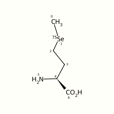 C[75Se]CC[C@H](N)C(=O)O